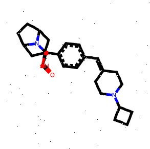 O=CCN1C2CCC1CC(O)(c1ccc(C=C3CCN(C4CCC4)CC3)cc1)C2